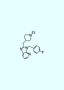 [CH2]CN1CCC(Cc2nc3cccnc3n2Cc2ccc(F)cc2)CC1